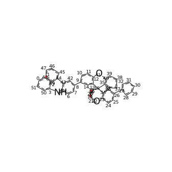 c1ccc(Nc2ccc(-c3ccc4c(c3)C3(c5ccccc5Oc5ccc(-c6ccccc6)cc53)c3ccccc3O4)cc2-c2ccccc2)cc1